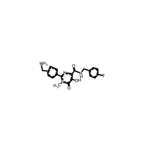 Cn1c(-c2ccc(CN)cc2)nc(C(=O)NCc2ccc(F)cc2)c(O)c1=O